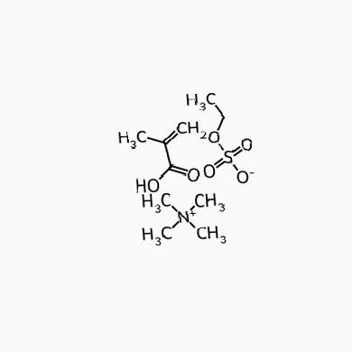 C=C(C)C(=O)O.CCOS(=O)(=O)[O-].C[N+](C)(C)C